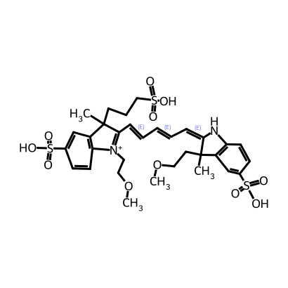 COCC[N+]1=C(/C=C/C=C/C=C2/Nc3ccc(S(=O)(=O)O)cc3C2(C)CCOC)C(C)(CCCS(=O)(=O)O)c2cc(S(=O)(=O)O)ccc21